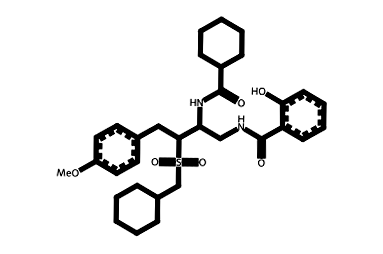 COc1ccc(CC(C(CNC(=O)c2ccccc2O)NC(=O)C2CCCCC2)S(=O)(=O)CC2CCCCC2)cc1